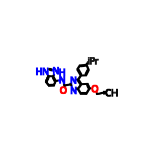 C#CCOc1ccc2nc(C(=O)Nc3cccc4[nH]cnc34)nc(-c3ccc(C(C)C)cc3)c2c1